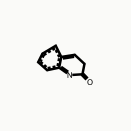 O=C1CC=c2ccccc2=N1